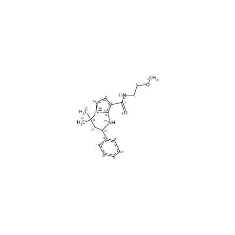 COCCNC(=O)c1cnn2c1NC(c1ccccc1)CC2(C)C